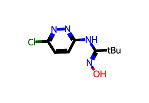 CC(C)(C)C(=NO)Nc1ccc(Cl)nn1